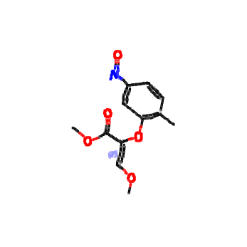 CO/C=C(\Oc1cc(N=O)ccc1C)C(=O)OC